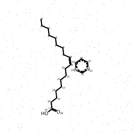 CCCCCCCC/C=C\CCCCCCCC(=O)O.c1cncnc1